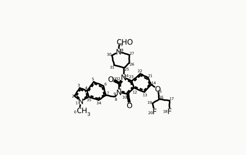 Cn1ccc2ccc(Cn3c(=O)c4cc(OC(CF)CF)ccc4n(C4CCN(C=O)CC4)c3=O)cc21